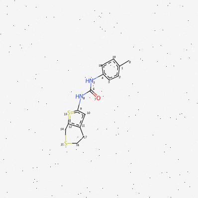 Cc1ccc(NC(=O)Nc2cc3c(s2)CSCC3)cc1